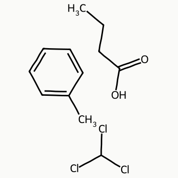 CCCC(=O)O.Cc1ccccc1.ClC(Cl)Cl